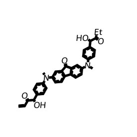 C=CC(=O)C(O)c1ccc(N(C)c2ccc3c(c2)C(=O)c2cc(N(C)c4ccc(C(O)C(=O)CC)cc4)ccc2-3)cc1